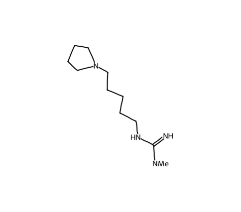 CNC(=N)NCCCCCN1CCCC1